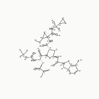 C=C(C)C(=O)C[C@H](NC(=O)OC(C)(C)C)C(=O)N1C[C@H](OC(=O)N2Cc3cccc(F)c3C2)C[C@H]1C(=O)NC1(C(=O)NS(=O)(=O)C2CC2)CC1CC